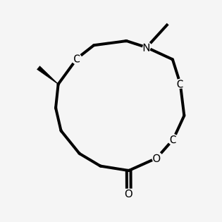 C[C@@H]1CCCCC(=O)OCCCCN(C)CCC1